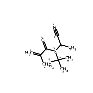 C=C(C)C(=O)N(C(C)C#N)C(C)(C)C